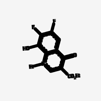 CCOC(=O)c1cn(CC)c2c(O)c(F)c(F)cc2c1=O